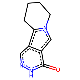 O=c1[nH]ncc2c3n(cc12)CCCC3